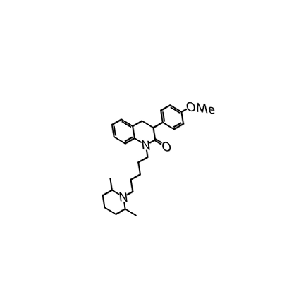 COc1ccc(C2Cc3ccccc3N(CCCCCN3C(C)CCCC3C)C2=O)cc1